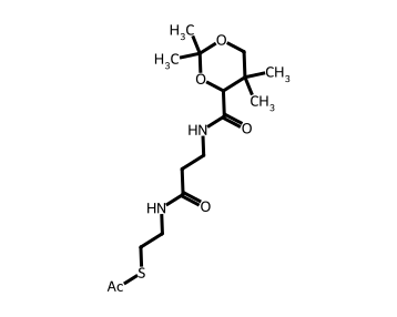 CC(=O)SCCNC(=O)CCNC(=O)C1OC(C)(C)OCC1(C)C